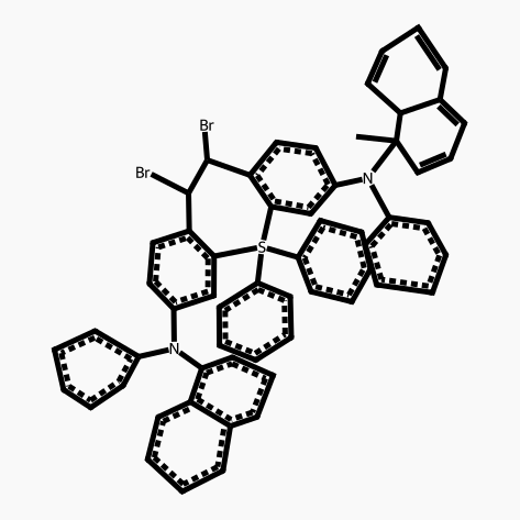 CC1(N(c2ccccc2)c2ccc3c(c2)S(c2ccccc2)(c2ccccc2)c2cc(N(c4ccccc4)c4cccc5ccccc45)ccc2C(Br)C3Br)C=CC=C2C=CC=CC21